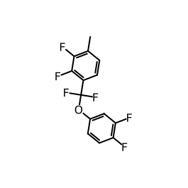 Cc1ccc(C(F)(F)Oc2ccc(F)c(F)c2)c(F)c1F